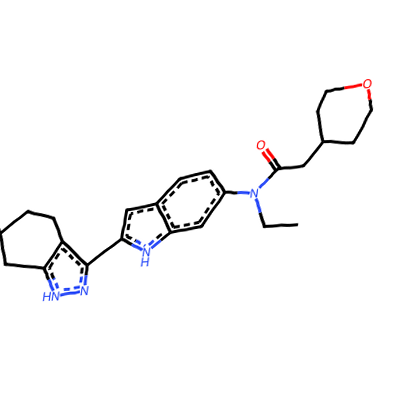 CCN(C(=O)CC1CCOCC1)c1ccc2cc(-c3n[nH]c4c3CCC(C)(C)C4)[nH]c2c1